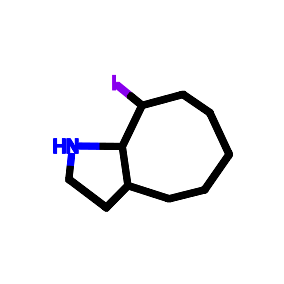 IC1CCCCCC2CCNC12